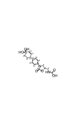 O=C(O)NCC1CN(c2ccc(C3C=CS(O)(O)CC3)cc2)C(=O)O1